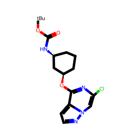 CC(C)(C)OC(=O)N[C@H]1CCC[C@@H](Oc2nc(Cl)cn3nccc23)C1